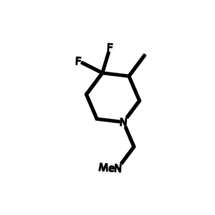 CNCN1CCC(F)(F)C(C)C1